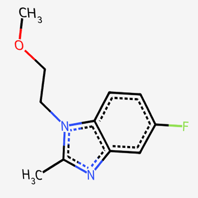 COCCn1c(C)nc2cc(F)ccc21